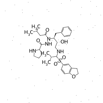 CC(C)CC(=O)N(NC(=O)C1CCCN1)[C@@H](Cc1ccccc1)[C@H](O)CNC(C(C)C)S(=O)(=O)c1ccc2c(c1)CCO2